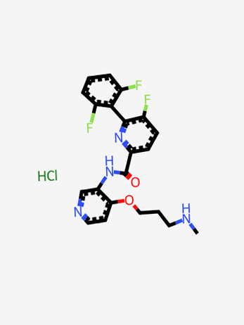 CNCCCOc1ccncc1NC(=O)c1ccc(F)c(-c2c(F)cccc2F)n1.Cl